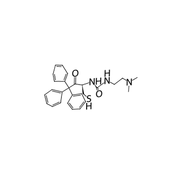 CN(C)CCNC(=O)N[C@@H](CS)C(=O)C(c1ccccc1)(c1ccccc1)c1ccccc1